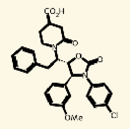 COc1cccc([C@H]2[C@H](C(Cc3ccccc3)N3CCC(C(=O)O)CC3=O)OC(=O)N2c2ccc(Cl)cc2)c1